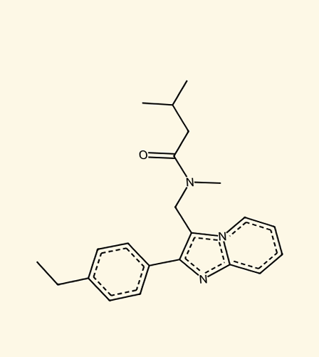 CCc1ccc(-c2nc3ccccn3c2CN(C)C(=O)CC(C)C)cc1